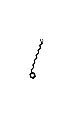 [O]CCCCCCCCCCCCc1ccccc1